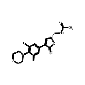 CC(=O)NC[C@H]1C=C(c2cc(F)c(N3CCOCC3)c(F)c2)C(=O)O1